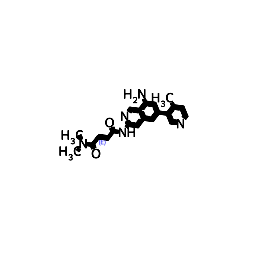 Cc1ccncc1-c1cc(N)c2cnc(NC(=O)/C=C/C(=O)N(C)C)cc2c1